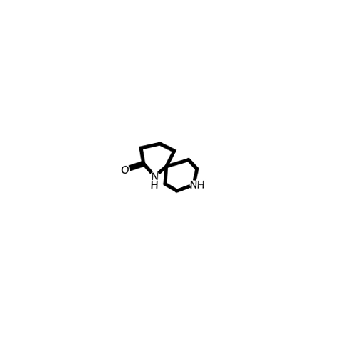 O=C1CCCC2(CCNCC2)N1